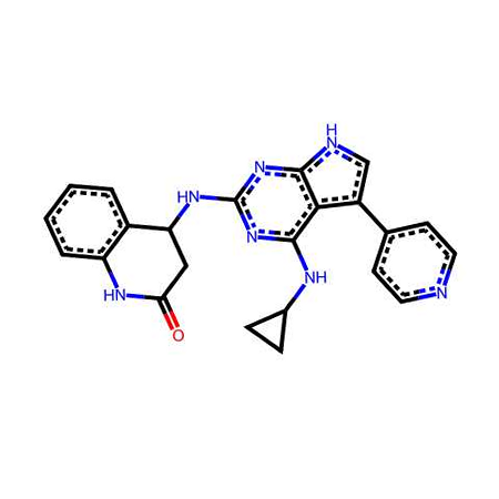 O=C1CC(Nc2nc(NC3CC3)c3c(-c4ccncc4)c[nH]c3n2)c2ccccc2N1